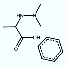 CC(NN(C)C)C(=O)O.c1ccccc1